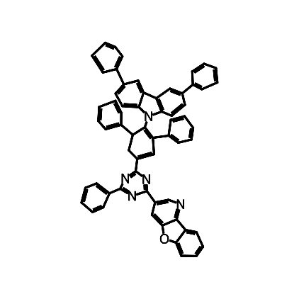 C1=C(c2nc(-c3ccccc3)nc(-c3cnc4c(c3)oc3ccccc34)n2)CC(c2ccccc2)C(n2c3ccc(-c4ccccc4)cc3c3cc(-c4ccccc4)ccc32)=C1c1ccccc1